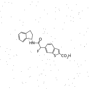 O=C(O)c1cc2ccc(C(F)C(=O)N[C@H]3CCc4ccccc43)cc2s1